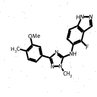 COc1cc(-c2nc(Nc3ccc4[nH]ncc4c3F)n(C)n2)ccc1C